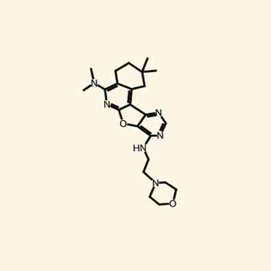 CN(C)c1nc2oc3c(NCCN4CCOCC4)ncnc3c2c2c1CCC(C)(C)C2